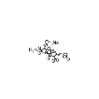 CO/N=C(\C(=O)N[C@@H]1C(=O)N2C(C(=O)[O-])=C(/C=C/C3CCC(=O)O3)CS[C@H]12)c1csc(N)n1.[Na+]